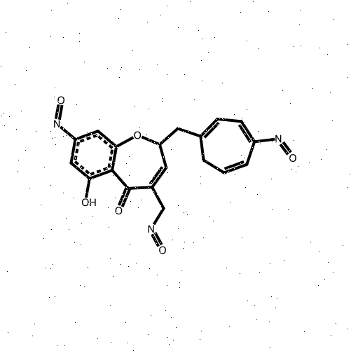 O=NCC1=CC(CC2=CC=C(N=O)C=CC2)Oc2cc(N=O)cc(O)c2C1=O